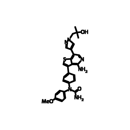 COc1ccc(N(C(N)=O)c2ccc(-c3csc4c(-c5cnn(CC(C)(C)O)c5)cnc(N)c34)cc2)cc1